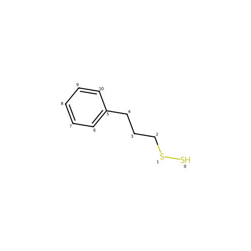 SSCCCc1ccccc1